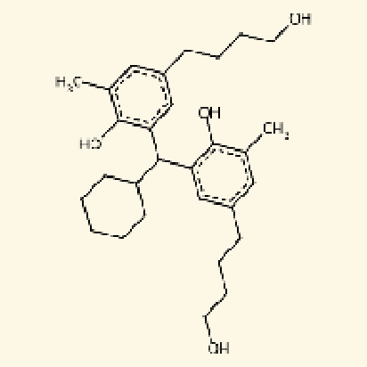 Cc1cc(CCCCO)cc(C(c2cc(CCCCO)cc(C)c2O)C2CCCCC2)c1O